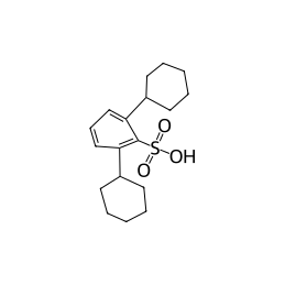 O=S(=O)(O)c1c(C2CCCCC2)cccc1C1CCCCC1